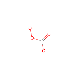 [O]OC([O])=O